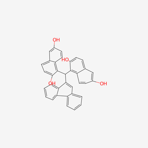 Oc1ccc2c(C(c3c(O)ccc4cc(O)ccc34)c3cc4ccccc4c4ccccc34)c(O)ccc2c1